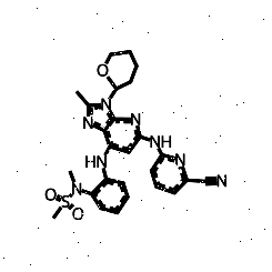 Cc1nc2c(Nc3ccccc3N(C)S(C)(=O)=O)cc(Nc3cccc(C#N)n3)nc2n1C1CCCCO1